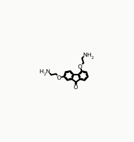 NCCOc1ccc2c(c1)C(=O)c1cccc(OCCN)c1-2